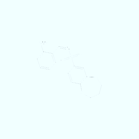 CSc1ccccc1/C=N\S(=O)(=O)c1ccc2c(c1)OCCCO2